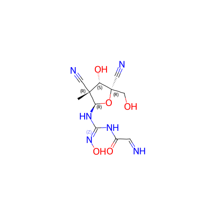 C[C@]1(C#N)[C@H](N/C(=N/O)NC(=O)C=N)O[C@](C#N)(CO)[C@H]1O